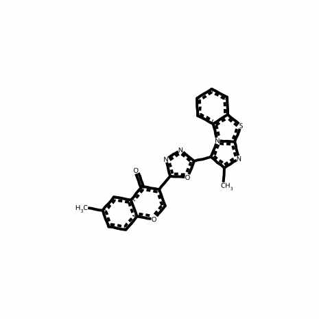 Cc1ccc2occ(-c3nnc(-c4c(C)nc5sc6ccccc6n45)o3)c(=O)c2c1